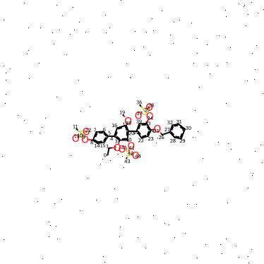 CCOc1c(-c2ccc(OS(C)(=O)=O)cc2)cc(OC)c(-c2ccc(OCc3ccccc3)c(OS(C)(=O)=O)c2)c1OS(C)(=O)=O